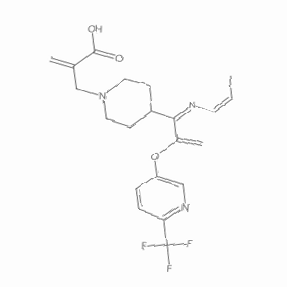 C=C(CN1CCC(/C(=N/C=C\C)C(=C)Oc2ccc(C(F)(F)F)nc2)CC1)C(=O)O